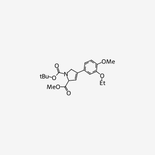 CCOc1cc(C2=CC(C(=O)OC)N(C(=O)OC(C)(C)C)C2)ccc1OC